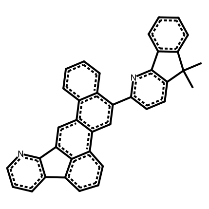 CC1(C)c2ccccc2-c2nc(-c3cc4c5cccc6c5c(cc4c4ccccc34)-c3ncccc3-6)ccc21